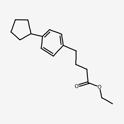 CCOC(=O)CCCc1ccc(C2CCCC2)cc1